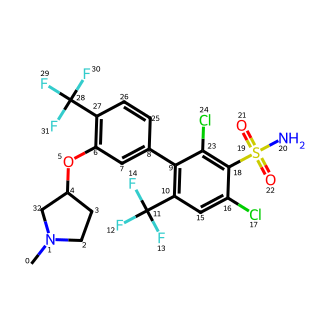 CN1CCC(Oc2cc(-c3c(C(F)(F)F)cc(Cl)c(S(N)(=O)=O)c3Cl)ccc2C(F)(F)F)C1